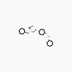 C[C@@H](c1ccccc1)N1C[C@H](c2ccc(OS(=O)(=O)c3ccccc3)cc2)OCC1=O